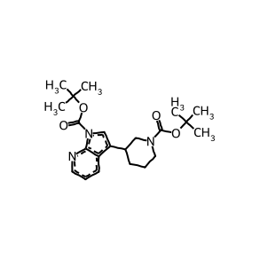 CC(C)(C)OC(=O)N1CCCC(c2cn(C(=O)OC(C)(C)C)c3ncccc23)C1